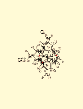 CC1=C(C)[C]([Ti+3])([Si](c2c(N(C)C)c(C)c(N(C)C)c(C)c2N(C)C)(c2c(N(C)C)c(C)c(N(C)C)c(C)c2N(C)C)c2c(N(C)C)c(C)c(N(C)C)c(C)c2N(C)C)C(C)=C1C.[Cl-].[Cl-].[Cl-]